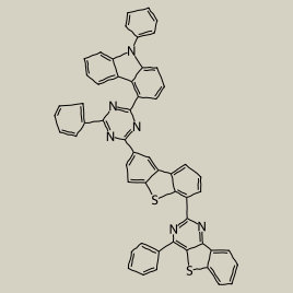 c1ccc(-c2nc(-c3ccc4sc5c(-c6nc(-c7ccccc7)c7sc8ccccc8c7n6)cccc5c4c3)nc(-c3cccc4c3c3ccccc3n4-c3ccccc3)n2)cc1